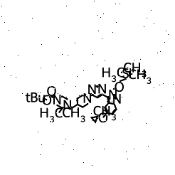 CC(C)(C)OC(=O)N1CCN(CC2CCN(c3cc(-c4c5cc(OC6(C)CC6)ccc5nn4COCC[Si](C)(C)C)ncn3)CC2)C(C)(C)C1